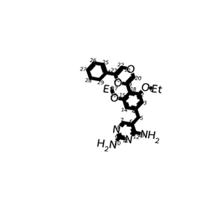 CCOc1cc(Cc2cnc(N)nc2N)cc(OCC)c1C1=COC=C(C2=CC=CCC2)O1